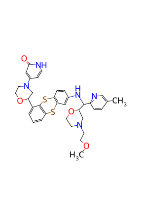 COCCN1CCOC(C(Nc2ccc3c(c2)Sc2cccc(C4CN(c5cc[nH]c(=O)c5)CCO4)c2S3)c2ccc(C)cn2)C1